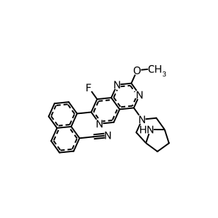 COc1nc(N2CC3CCC(C2)N3)c2cnc(-c3cccc4cccc(C#N)c34)c(F)c2n1